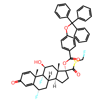 C[C@]12C=CC(=O)C=C1[C@@H](F)C[C@H]1[C@@H]3CC[C@](OC(=O)c4ccc(OC(c5ccccc5)(c5ccccc5)c5ccccc5)cc4)(C(=O)SCF)[C@@]3(C)C[C@H](O)[C@@]12F